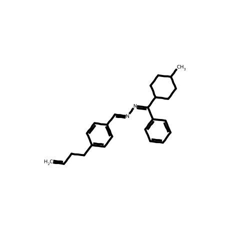 C=CCCc1ccc(C=NN=C(c2ccccc2)C2CCC(C)CC2)cc1